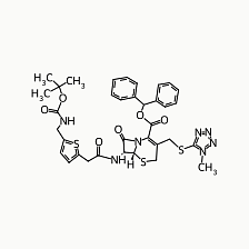 Cn1nnnc1SCC1=C(C(=O)OC(c2ccccc2)c2ccccc2)N2C(=O)[C@@H](NC(=O)Cc3ccc(CNC(=O)OC(C)(C)C)s3)[C@H]2SC1